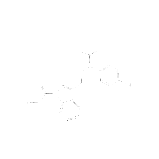 CC(C)(C)OC(=O)N(CCc1cn(C(=O)OC(C)(C)C)c2ccccc12)c1ccc(N)cc1